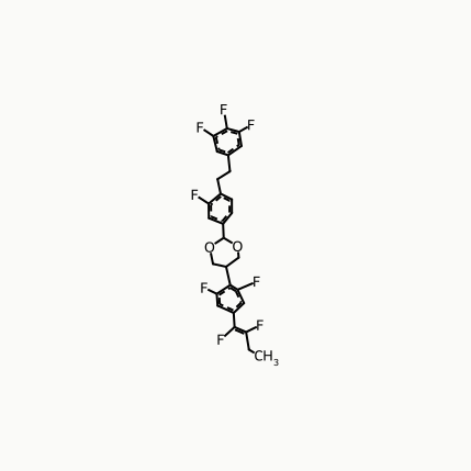 CC/C(F)=C(\F)c1cc(F)c(C2COC(c3ccc(CCc4cc(F)c(F)c(F)c4)c(F)c3)OC2)c(F)c1